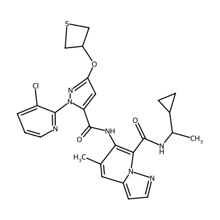 Cc1cc2ccnn2c(C(=O)NC(C)C2CC2)c1NC(=O)c1cc(OC2CSC2)nn1-c1ncccc1Cl